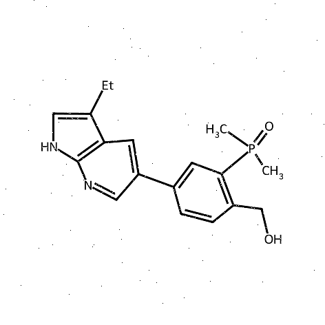 CCc1c[nH]c2ncc(-c3ccc(CO)c(P(C)(C)=O)c3)cc12